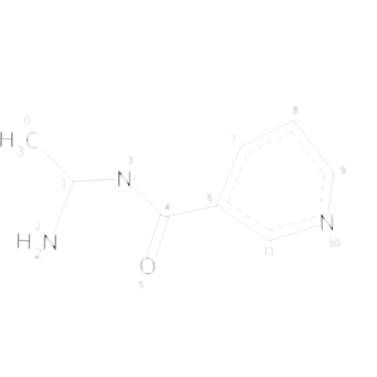 CC(N)[N]C(=O)c1cccnc1